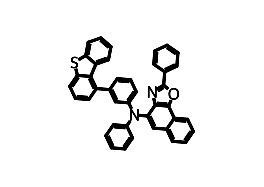 c1ccc(-c2nc3c(N(c4ccccc4)c4cccc(-c5cccc6sc7ccccc7c56)c4)cc4ccccc4c3o2)cc1